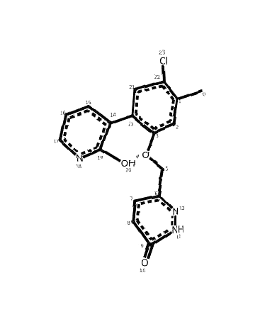 Cc1cc(OCc2ccc(=O)[nH]n2)c(-c2cccnc2O)cc1Cl